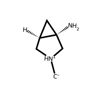 [CH2-][NH+]1C[C@H]2C[C@@]2(N)C1